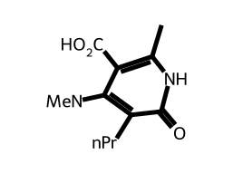 CCCc1c(NC)c(C(=O)O)c(C)[nH]c1=O